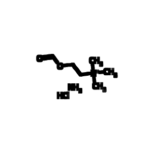 C[N+](C)(C)CCOC=O.Cl.N